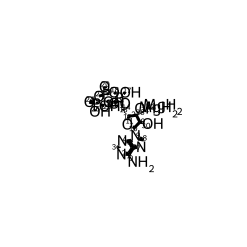 Nc1ncnc2c1ncn2[C@@H]1O[C@H](COP(=O)(O)OP(=O)(O)OP(=O)(O)O)C(O)C1O.[MgH2].[MgH2]